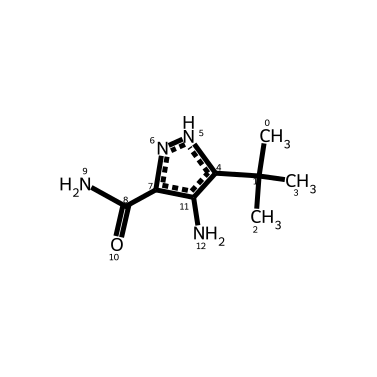 CC(C)(C)c1[nH]nc(C(N)=O)c1N